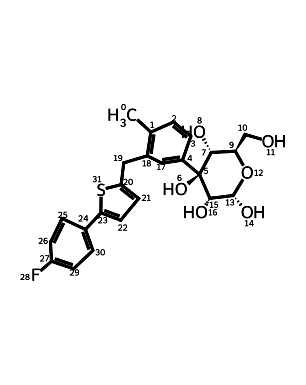 Cc1ccc([C@]2(O)[C@H](O)[C@@H](CO)O[C@H](O)[C@@H]2O)cc1Cc1ccc(-c2ccc(F)cc2)s1